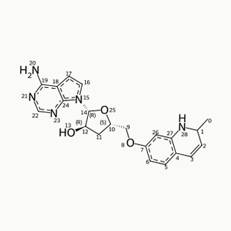 CC1C=Cc2ccc(OC[C@@H]3C[C@@H](O)[C@H](n4ccc5c(N)ncnc54)O3)cc2N1